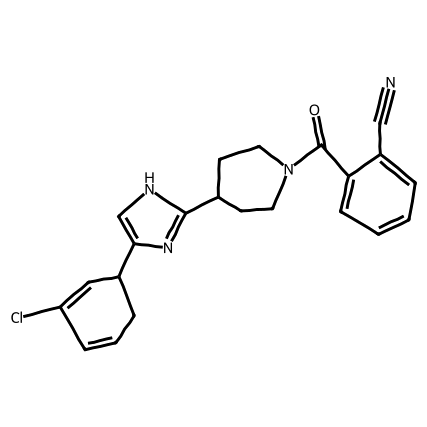 N#Cc1ccccc1C(=O)N1CCC(c2nc(C3C=C(Cl)C=CC3)c[nH]2)CC1